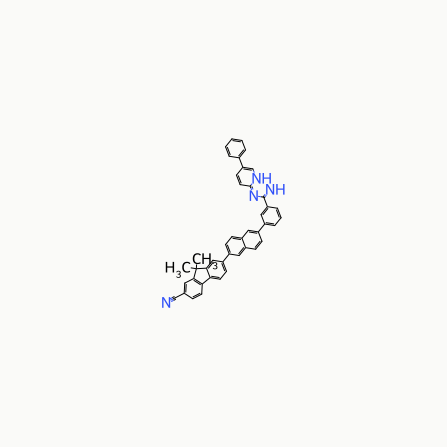 CC1(C)c2cc(C#N)ccc2-c2ccc(-c3ccc4cc(-c5cccc(C(=N)/N=c6/ccc(-c7ccccc7)c[nH]6)c5)ccc4c3)cc21